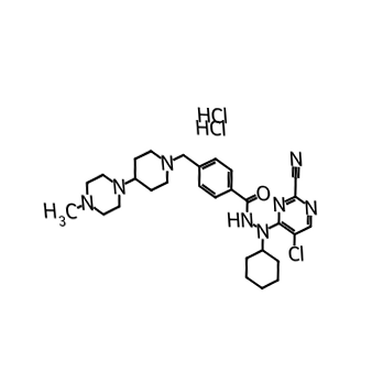 CN1CCN(C2CCN(Cc3ccc(C(=O)NN(c4nc(C#N)ncc4Cl)C4CCCCC4)cc3)CC2)CC1.Cl.Cl